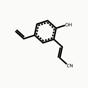 C=Cc1ccc(O)c(C=CC#N)c1